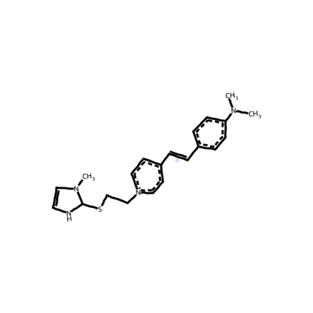 CN(C)c1ccc(/C=C/c2cc[n+](CCSC3NC=CN3C)cc2)cc1